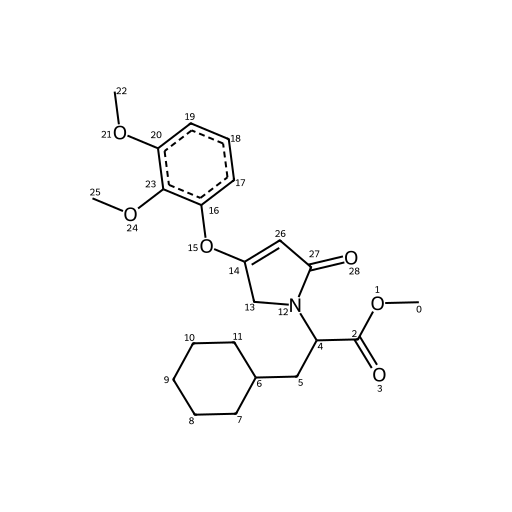 COC(=O)C(CC1CCCCC1)N1CC(Oc2cccc(OC)c2OC)=CC1=O